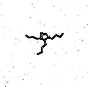 CCCCC1N(CCCC)C=NN1CCCC